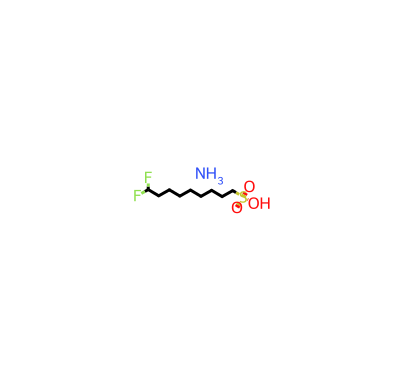 N.O=S(=O)(O)CCCCCCCCC(F)F